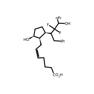 CCCC(O)C(F)(F)C(CC(C)C)[C@@H]1CC[C@H](O)[C@@H]1C/C=C\CCCC(=O)O